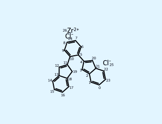 C1=CC2=CC(c3ccccc3C3=Cc4ccccc4C3)=CC2C=C1.[Cl-].[Cl-].[Zr+2]